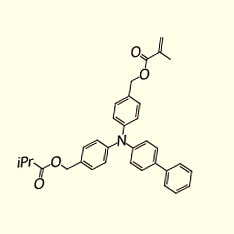 C=C(C)C(=O)OCc1ccc(N(c2ccc(COC(=O)C(C)C)cc2)c2ccc(-c3ccccc3)cc2)cc1